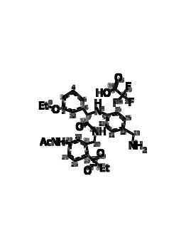 CCOc1cccc(C(Nc2ccc(CN)cc2)C(=O)NCc2cc(NC(C)=O)ccc2S(=O)(=O)CC)c1.O=C(O)C(F)(F)F